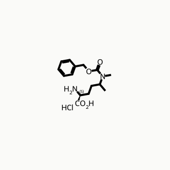 CC(CC[C@H](N)C(=O)O)N(C)C(=O)OCc1ccccc1.Cl